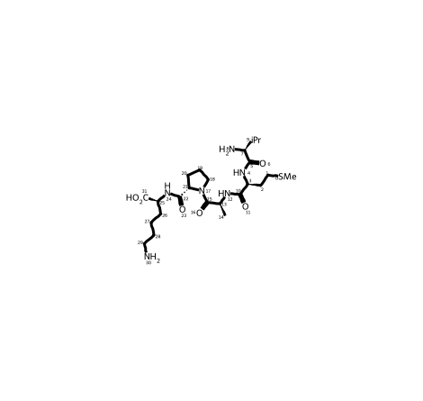 CSCC[C@H](NC(=O)[C@@H](N)C(C)C)C(=O)N[C@@H](C)C(=O)N1CCC[C@H]1C(=O)N[C@@H](CCCCN)C(=O)O